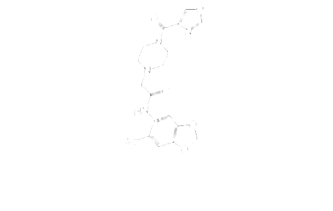 CC(=O)c1cc2c(cc1NC(=O)CN1CCN(C(=O)c3cocn3)CC1)OCO2